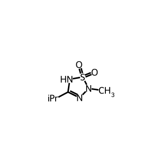 CC(C)C1=NN(C)S(=O)(=O)N1